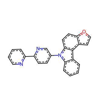 c1ccc(-c2ccc(-n3c4ccccc4c4c5ccoc5ccc43)cn2)nc1